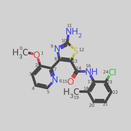 COc1cccnc1-c1nc(N)sc1C(=O)Nc1c(C)cccc1Cl